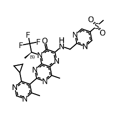 Cc1ncnc(C2CC2)c1-c1nc(C)c2nc(NCc3ncc(S(C)(=O)=O)cn3)c(=O)n([C@@H](C)C(F)(F)F)c2n1